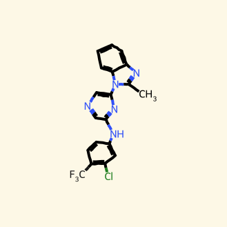 Cc1nc2ccccc2n1-c1cncc(Nc2ccc(C(F)(F)F)c(Cl)c2)n1